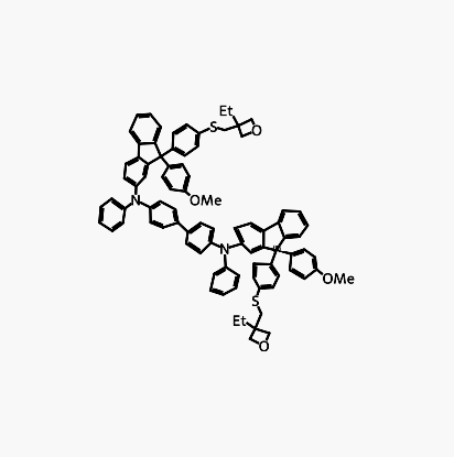 CCC1(CSc2ccc(C3(c4ccc(OC)cc4)c4ccccc4-c4ccc(N(c5ccccc5)c5ccc(-c6ccc(N(c7ccccc7)c7ccc8c(c7)[C@@](c7ccc(OC)cc7)(c7ccc(SCC9(CC)COC9)cc7)c7ccccc7-8)cc6)cc5)cc43)cc2)COC1